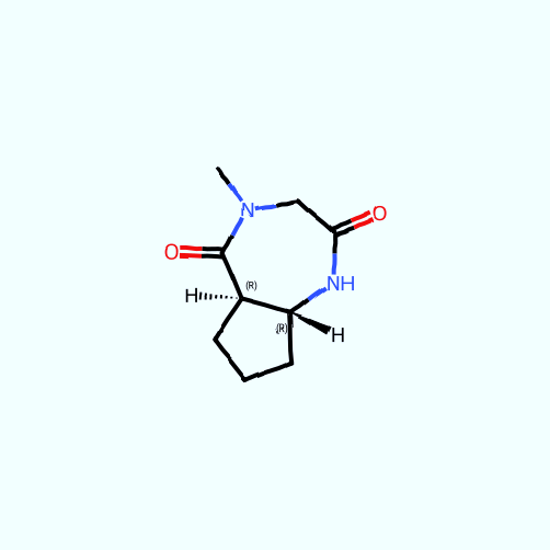 CN1CC(=O)N[C@@H]2CCC[C@H]2C1=O